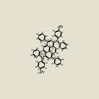 CC(C)c1ccc(N(c2ccccc2)c2cc(-c3ccccc3)c3ccc4c(N(c5ccc(C(C)C)cc5)c5ccccn5)cc(-c5ccccc5)c5ccc2c3c54)cc1